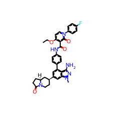 CCOc1ccn(-c2ccc(F)cc2)c(=O)c1C(=O)Nc1ccc(-c2cc([C@H]3CCN4C(=O)CC[C@H]4C3)cc3c2c(N)nn3C)cc1